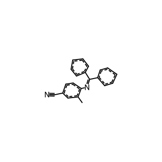 Cc1cc(C#N)ccc1N=C(c1ccccc1)c1ccccc1